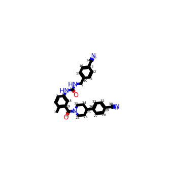 Cc1ccc(NC(=O)NCc2ccc(C#N)cc2)cc1C(=O)N1CCC(c2ccc(C#N)cc2)CC1